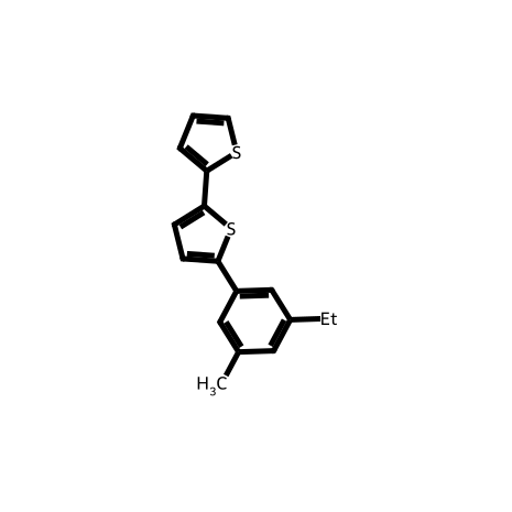 CCc1cc(C)cc(-c2ccc(-c3cccs3)s2)c1